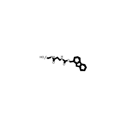 O=C(O)CNC(=O)CCNC(=O)OCc1cccc2c1Cc1ccccc1-2